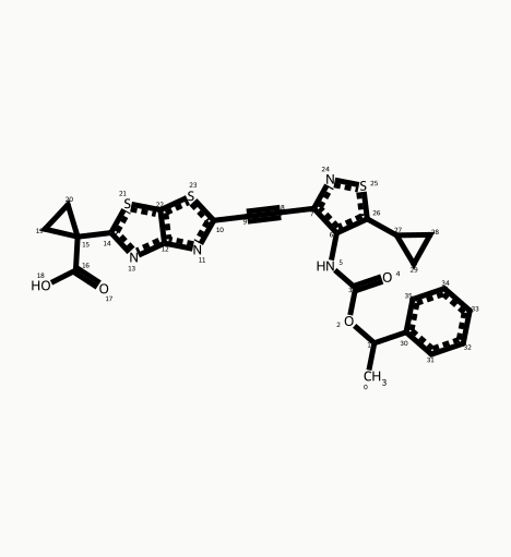 CC(OC(=O)Nc1c(C#Cc2nc3nc(C4(C(=O)O)CC4)sc3s2)nsc1C1CC1)c1ccccc1